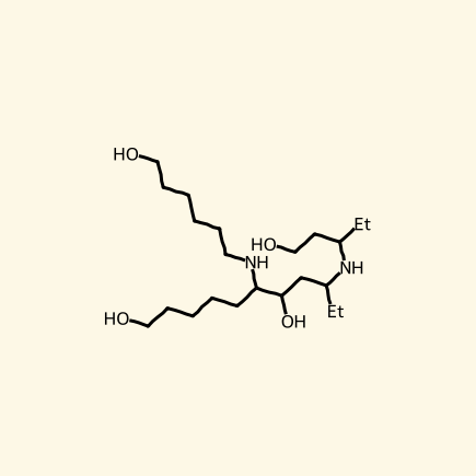 CCC(CCO)NC(CC)CC(O)C(CCCCCO)NCCCCCCO